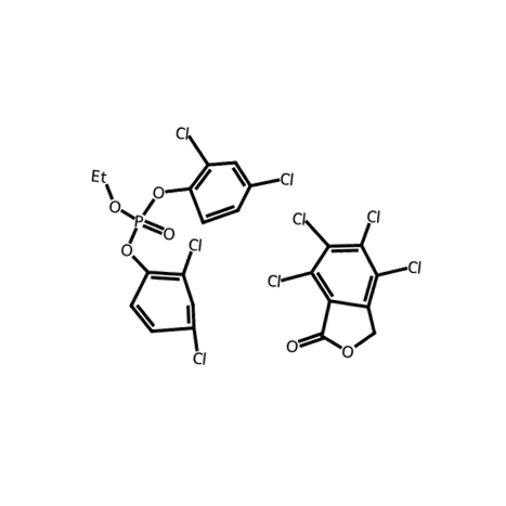 CCOP(=O)(Oc1ccc(Cl)cc1Cl)Oc1ccc(Cl)cc1Cl.O=C1OCc2c(Cl)c(Cl)c(Cl)c(Cl)c21